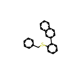 c1ccc(CSc2ccccc2-c2ccc3ccccc3c2)cc1